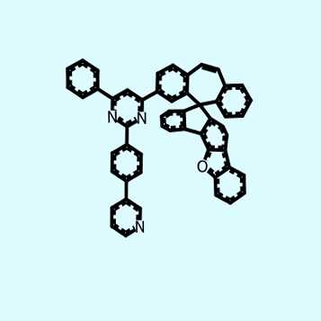 C1=Cc2ccc(-c3cc(-c4ccccc4)nc(-c4ccc(-c5cccnc5)cc4)n3)cc2C2(c3ccccc31)c1ccccc1-c1c2ccc2c1oc1ccccc12